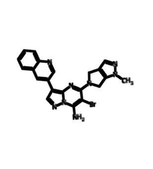 Cn1ncc2c1CN(c1nc3c(-c4cnc5ccccc5c4)cnn3c(N)c1Br)C2